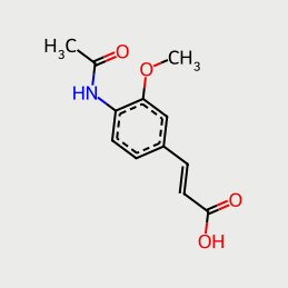 COc1cc(C=CC(=O)O)ccc1NC(C)=O